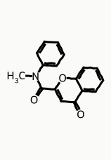 CN(C(=O)c1cc(=O)c2ccccc2o1)c1ccccc1